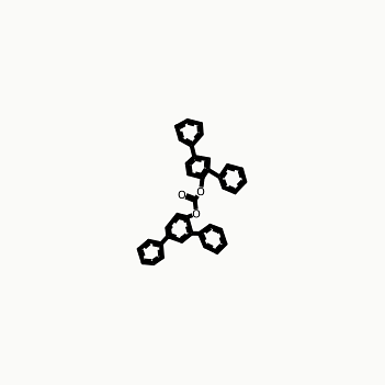 O=C(Oc1ccc(-c2ccccc2)cc1-c1ccccc1)Oc1ccc(-c2ccccc2)cc1-c1ccccc1